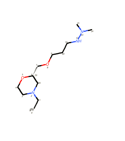 CC(C)CN1CCO[C@H](COCCCNN(C)C)C1